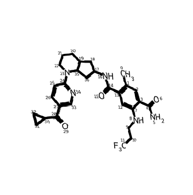 Cc1cc(C(N)=O)c(NCCC(F)(F)F)cc1C(=O)NC1CC2CCCN(c3ccc(C(=O)C4CC4)cn3)C2C1